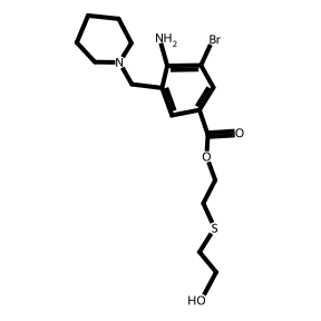 Nc1c(Br)cc(C(=O)OCCSCCO)cc1CN1CCCCC1